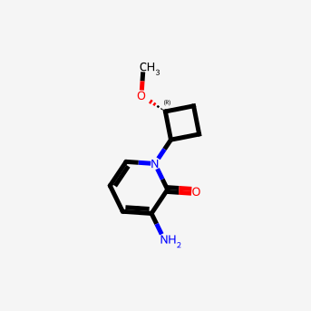 CO[C@@H]1CCC1n1cccc(N)c1=O